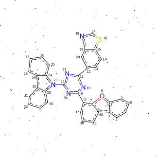 c1ccc2c(c1)oc1c(-c3nc(-c4ccc5scnc5c4)nc(-n4c5ccccc5c5ccccc54)n3)cccc12